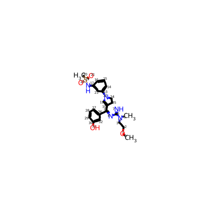 COCCN(C)C(=N)/N=C(\C1=CN(c2cccc(NS(C)(=O)=O)c2)CC1)c1cccc(O)c1